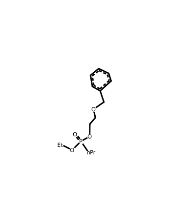 CCCP(=O)(OCC)OCCOCc1ccccc1